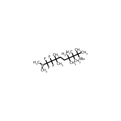 CN(C)C(F)(F)C(F)(F)C(C)(C)CCC(C)(C)C(C)(C)C(C)(C)C(C)(C)C